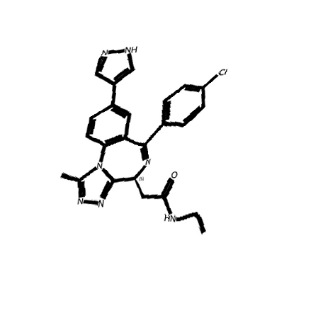 CCNC(=O)C[C@@H]1N=C(c2ccc(Cl)cc2)c2cc(-c3cn[nH]c3)ccc2-n2c(C)nnc21